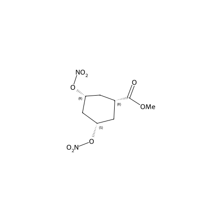 COC(=O)[C@@H]1C[C@H](O[N+](=O)[O-])C[C@H](O[N+](=O)[O-])C1